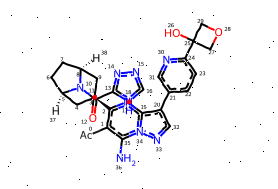 CC(=O)c1c([C@H]2C[C@H]3CC[C@@H](C2)N3C(=O)c2nnc[nH]2)nc2c(-c3ccc(C4(O)COC4)nc3)cnn2c1N